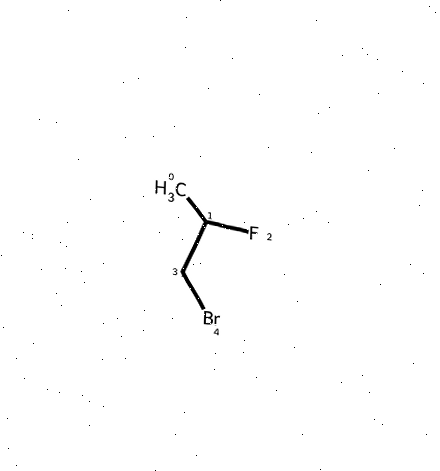 CC(F)[CH]Br